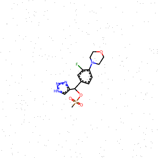 CS(=O)(=O)OC(c1ccc(N2CCOCC2)c(F)c1)c1c[nH]nn1